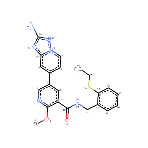 CCOc1ncc(-c2ccn3nc(N)nc3c2)cc1C(=O)NCc1ccccc1SCC(F)(F)F